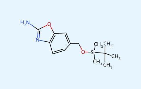 CC(C)(C)[Si](C)(C)OCc1ccc2nc(N)oc2c1